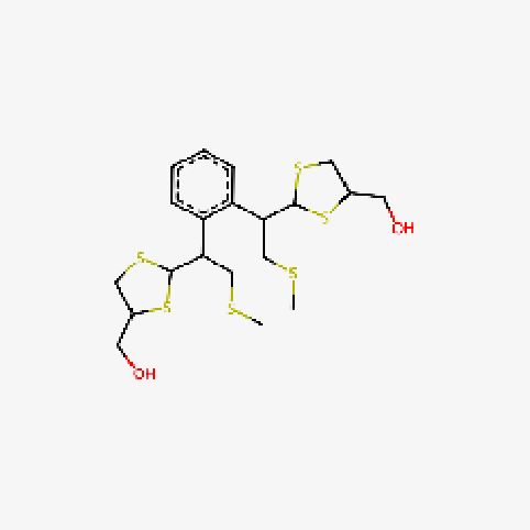 CSCC(c1ccccc1C(CSC)C1SCC(CO)S1)C1SCC(CO)S1